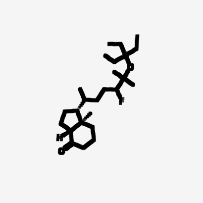 CC[Si](CC)(CC)OC(C)(C)C(F)CCC(C)[C@H]1CC[C@H]2C(=O)CCC[C@]12C